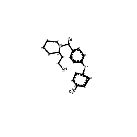 N#CC(c1ccc(Oc2ccc([N+](=O)[O-])cc2)cc1)N1CCCCC1CCO